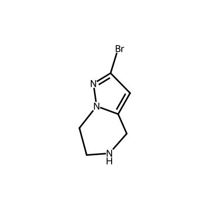 Brc1cc2n(n1)CCNC2